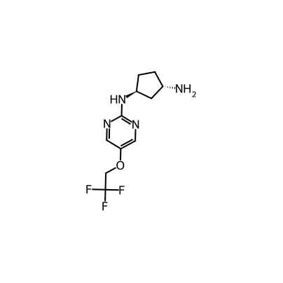 N[C@H]1CC[C@H](Nc2ncc(OCC(F)(F)F)cn2)C1